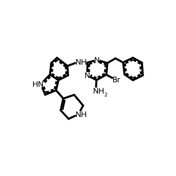 Nc1nc(Nc2ccc3[nH]cc(C4=CCNCC4)c3c2)nc(Cc2ccccc2)c1Br